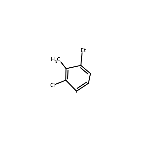 CCc1cc[c]c(Cl)c1C